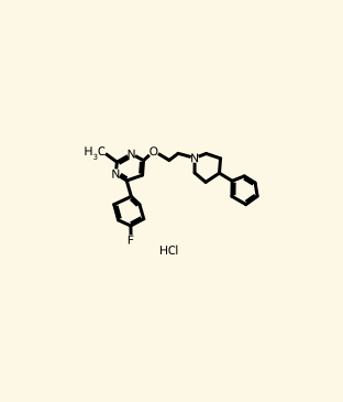 Cc1nc(OCCN2CCC(c3ccccc3)CC2)cc(-c2ccc(F)cc2)n1.Cl